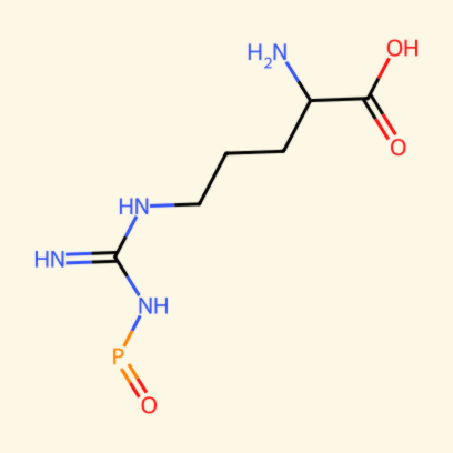 N=C(NCCCC(N)C(=O)O)NP=O